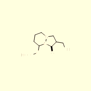 O=C(O)OC1CCCN2CC(CS)C(=O)N12